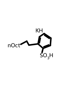 CCCCCCCCCCc1ccccc1S(=O)(=O)O.[KH]